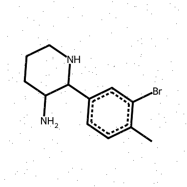 Cc1ccc(C2NCCCC2N)cc1Br